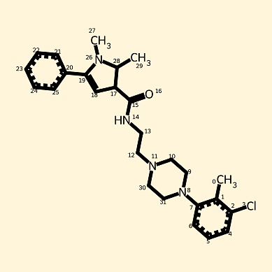 Cc1c(Cl)cccc1N1CCN(CCNC(=O)C2C=C(c3ccccc3)N(C)C2C)CC1